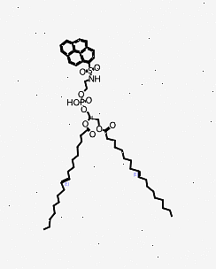 CCCCCCCC/C=C/CCCCCCCC(=O)OC[C@H](COP(=O)(O)OCCNS(=O)(=O)c1ccc2ccc3cccc4ccc1c2c34)OC(=O)CCCCCCC/C=C/CCCCCCCC